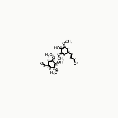 COc1cc(C=CC=O)cc(OC)c1O.COc1cc(C=O)cc(OC)c1O